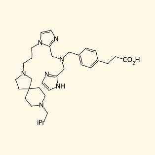 CC(C)CN1CCC2(CC1)CCN(CCCn1ccnc1CN(Cc1ccc(CCC(=O)O)cc1)Cc1ncc[nH]1)C2